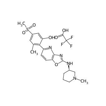 Cc1cc(S(C)(=O)=O)cc(O)c1-c1ccc2oc(N[C@@H]3CCCN(C)C3)nc2n1.O=C(O)C(F)(F)F